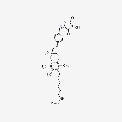 Cc1c(C)c2c(c(C)c1CCCCCCNC(=O)O)CCC(C)(COc1ccc(/C=C3/SC(=O)N(C)C3=O)cc1)O2